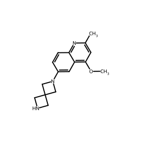 COc1cc(C)nc2ccc(N3CC4(CNC4)C3)cc12